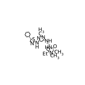 CCC(=O)N(C)C(C)C(=O)NCCNc1cc(Nc2ncc(-c3ccccc3)s2)nc(C)n1